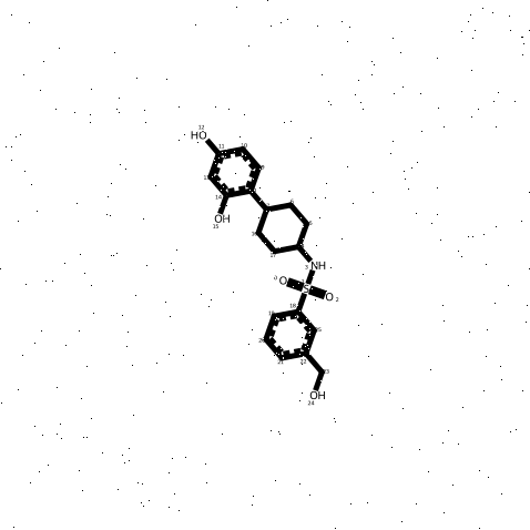 O=S(=O)(NC1CCC(c2ccc(O)cc2O)CC1)c1cccc(CO)c1